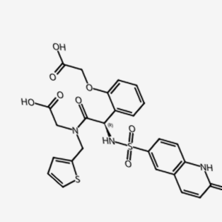 O=C(O)COc1ccccc1[C@@H](NS(=O)(=O)c1ccc2[nH]c(=O)ccc2c1)C(=O)N(CC(=O)O)Cc1cccs1